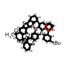 CC(C)(C)c1ccc(N2c3cc4c(cc3B3c5c(cc6ccccc6c52)-c2cccc5c6sc7cc8c(cc7c6n3c25)C(C)(C)CCC8(C)C)C(C)(C)c2ccccc2S4)c(-c2ccccc2)c1